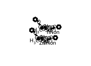 CCCCCCCCCC(C)(OCCOc1ccccc1)OP([O-])(=S)SC(C)(CCCCCCCCC)OCCOc1ccccc1.CCCCCCCCCC(C)(OCCOc1ccccc1)OP([O-])(=S)SC(C)(CCCCCCCCC)OCCOc1ccccc1.[Zn+2]